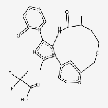 CC1CCCCc2cc(ccn2)-c2c(c(-n3cnccc3=O)nn2C)NC1=O.O=C(O)C(F)(F)F